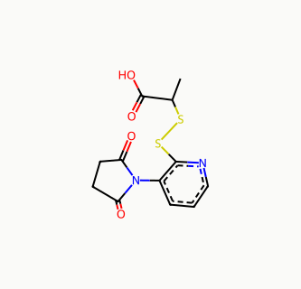 CC(SSc1ncccc1N1C(=O)CCC1=O)C(=O)O